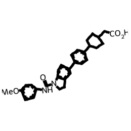 COc1ccc(NC(=O)N2CCc3cc(-c4ccc(C5CCC(CC(=O)O)CC5)cc4)ccc32)cc1